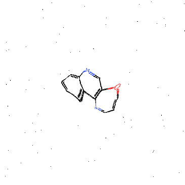 C1=COc2cnc3ccccc3c2N=C1